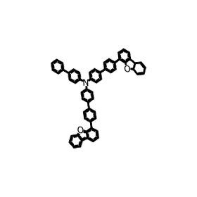 C1=CC2Oc3c(-c4ccc(-c5ccc(N(c6ccc(-c7ccccc7)cc6)c6ccc(-c7ccc(-c8cccc9c8oc8ccccc89)cc7)cc6)cc5)cc4)cccc3C2C=C1